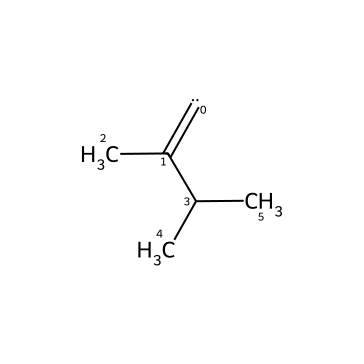 [C]=C(C)C(C)C